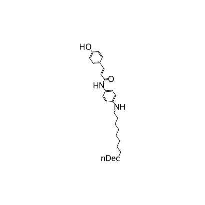 CCCCCCCCCCCCCCCCCCNc1ccc(NC(=O)C=Cc2ccc(O)cc2)cc1